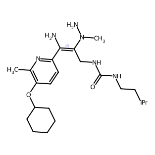 Cc1nc(/C(N)=C(\CNC(=O)NCCC(C)C)N(C)N)ccc1OC1CCCCC1